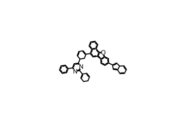 C1=CC2=CC(c3ccc4c(c3)oc3c5ccccc5c(C5=CC=CC(c6cc(-c7ccccc7)nc(C7=CCCC=C7)n6)C5)cc43)=CC2C=C1